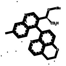 Cc1ccc2c(-c3ccc4c5c(ccnc35)CCO4)c([C@H](OC(C)(C)C)C(=O)O)cnc2c1